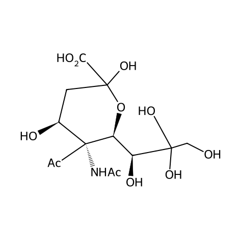 CC(=O)N[C@]1(C(C)=O)[C@@H](O)CC(O)(C(=O)O)O[C@H]1[C@H](O)C(O)(O)CO